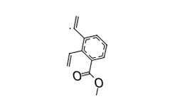 C=[C]c1cccc(C(=O)OC)c1C=C